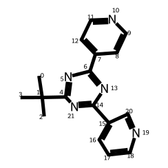 CC(C)(C)c1nc(-c2ccncc2)nc(-c2cccnc2)n1